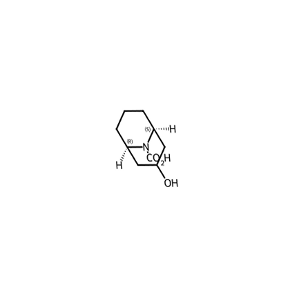 O=C(O)N1[C@@H]2CCC[C@H]1CC(O)C2